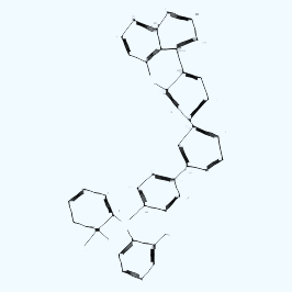 Cc1ccccc1B(C1=CC=CCC1(C)C)c1ccc(-c2cccc(-c3ccc4c(c3)Sc3cccc5cccc-4c35)c2)cc1